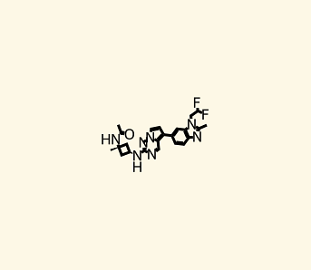 CC(=O)N[C@]1(C)C[C@H](Nc2ncc3c(-c4ccc5nc(C)n(CC(F)F)c5c4)ccn3n2)C1